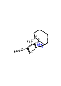 COc1ccc2c(c1)[C@@]1(C)CCCCC(C2)[C@@H]1N